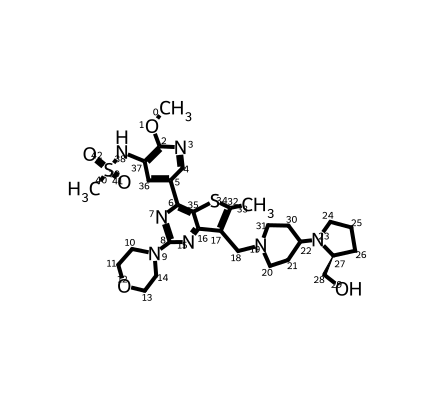 COc1ncc(-c2nc(N3CCOCC3)nc3c(CN4CCC(N5CCC[C@H]5CO)CC4)c(C)sc23)cc1NS(C)(=O)=O